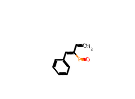 C=CC(=Cc1ccccc1)P=O